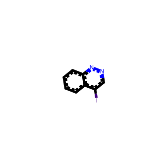 Ic1cnnc2ccccc12